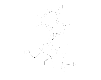 CC1(C)O[C@@H]2[C@@H](CO)C[C@@H](n3ccc4c(Cl)ncnc43)[C@@H]2O1